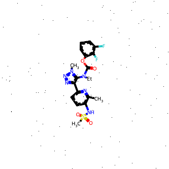 CCN(C(=O)Oc1cccc(F)c1F)c1c(-c2ccc(NS(C)(=O)=O)c(C)n2)nnn1C